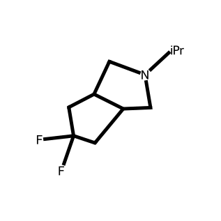 CC(C)N1CC2CC(F)(F)CC2C1